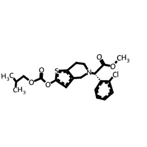 COC(=O)[C@H](c1ccccc1Cl)N1CCc2sc(OC(=O)OCC(C)C)cc2C1